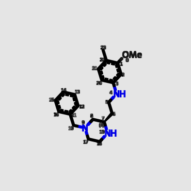 COc1cc(NCC[C@@H]2CN(Cc3ccccc3)CCN2)ccc1C